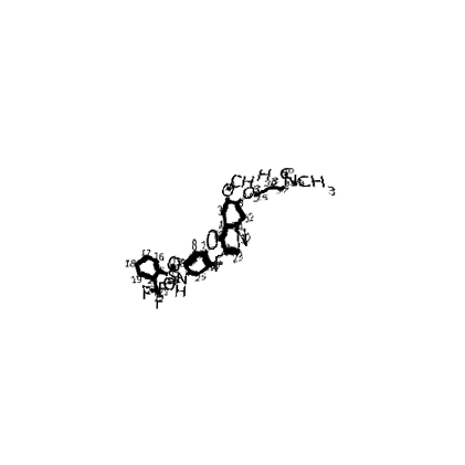 COc1cc2c(Oc3ccc(NS(=O)(=O)c4ccccc4C(F)(F)F)cc3F)ccnc2cc1OCCCN(C)C